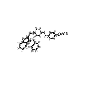 COc1ccc(CCN2CCN(Cc3nc4ccccc4n3Cc3ccccc3)CC2)cc1